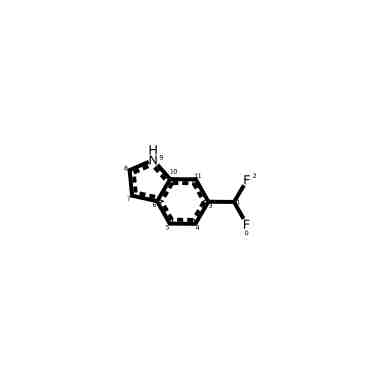 FC(F)c1ccc2cc[nH]c2c1